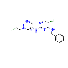 N=C/C(=C\NCCF)Nc1ncc(Cl)c(NCc2ccccc2)n1